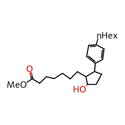 CCCCCCc1ccc(C2CC[C@H](O)C2CCCCCCC(=O)OC)cc1